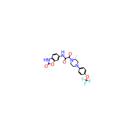 C[C@@H]1CN(c2ccc(OC(F)(F)F)cc2)CCN1C(=O)C(=O)Nc1ccc2[nH]c(=O)oc2c1